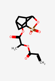 C=CC(=O)OC(C)C(=O)OC1C2CC3C1OS(=O)(=O)C3C2